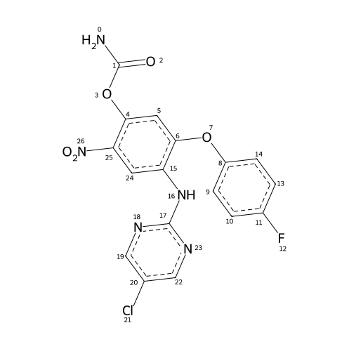 NC(=O)Oc1cc(Oc2ccc(F)cc2)c(Nc2ncc(Cl)cn2)cc1[N+](=O)[O-]